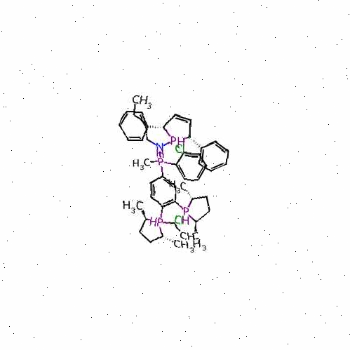 CCCCN([PH](C)(c1ccccc1)c1ccc([PH]2(CC)[C@H](C)CC[C@H]2C)c([PH]2(Cl)[C@H](C)CC[C@H]2C)c1)[PH]1(Cl)[C@@H](c2ccccc2)C=C[C@H]1c1ccccc1